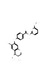 CCOc1cccc(NC(=O)c2ccc(Oc3cc4c(cc3Cl)C(OC(=O)O)CCO4)cc2)n1